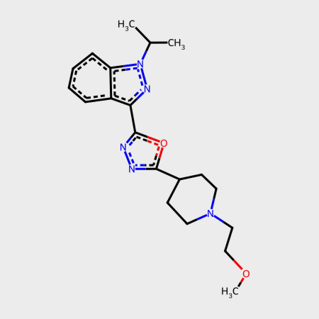 COCCN1CCC(c2nnc(-c3nn(C(C)C)c4ccccc34)o2)CC1